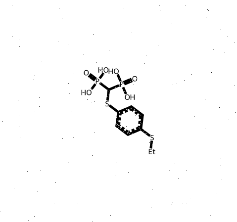 CCSc1ccc(SC(P(=O)(O)O)P(=O)(O)O)cc1